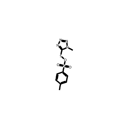 Cc1ccc(S(=O)(=O)OSc2nnnn2C)cc1